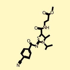 COC(=O)CCNC(=O)C1SC(=NC(=O)c2ccc(C#N)cc2)N(C(C)C)C1C